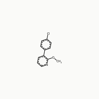 COc1ncccc1-c1ccc(Cl)cc1